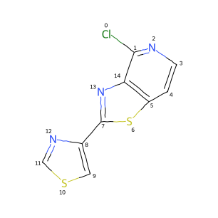 Clc1nccc2sc(-c3cscn3)nc12